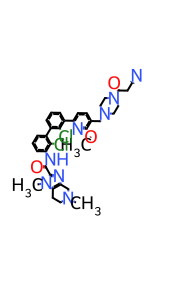 COc1nc(-c2cccc(-c3cccc(NC(=O)c4nc5c(n4C)CCN(C)C5)c3Cl)c2Cl)ccc1CN1CCN(C(=O)CC#N)CC1